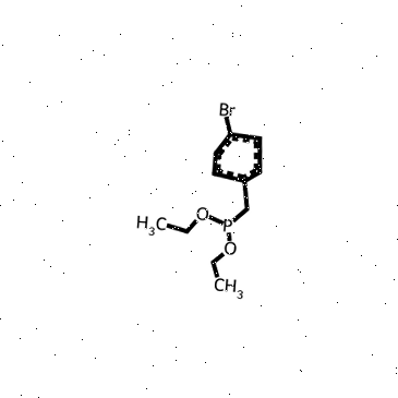 CCOP(Cc1ccc(Br)cc1)OCC